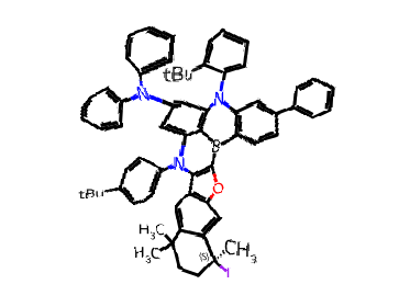 CC(C)(C)c1ccc(N2c3cc(N(c4ccccc4)c4ccccc4)cc4c3B(c3ccc(-c5ccccc5)cc3N4c3ccccc3C(C)(C)C)c3oc4cc5c(cc4c32)C(C)(C)CC[C@]5(C)I)cc1